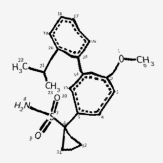 COc1ccc(C2(S(N)(=O)=O)CC2)cc1-c1ccccc1C(C)C